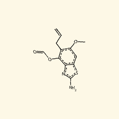 C=CCc1c(OC)cc2sc(N)nc2c1OC=O